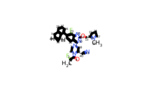 C=C(F)C(=O)N1CCN(c2nc(OC[C@@H]3CCCN3C)nc3c(F)c(-c4cccc5c4[C@H]4C[C@H]4C5)ccc23)C[C@@H]1CC#N